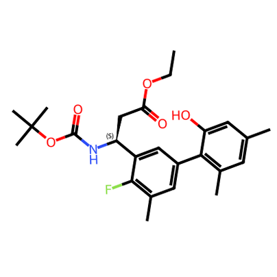 CCOC(=O)C[C@H](NC(=O)OC(C)(C)C)c1cc(-c2c(C)cc(C)cc2O)cc(C)c1F